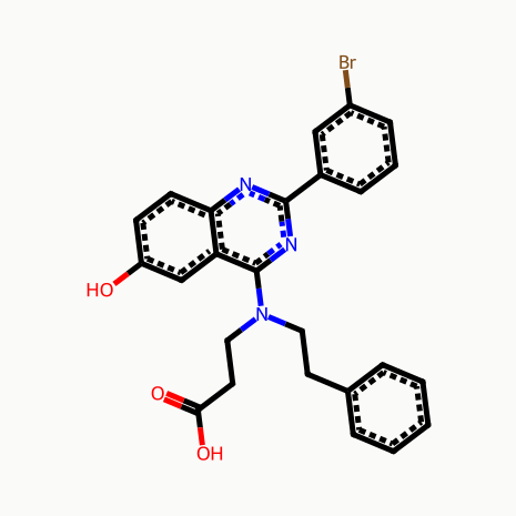 O=C(O)CCN(CCc1ccccc1)c1nc(-c2cccc(Br)c2)nc2ccc(O)cc12